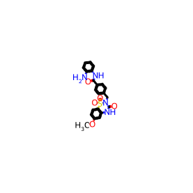 COc1ccc2c(c1)NC(=O)N(Cc1ccc(C(=O)Nc3ccccc3N)cc1)S2(=O)=O